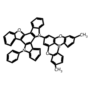 Cc1ccc2c(c1)Oc1cc(-n3c4ccccc4c4c5oc6ccccc6c5c5c(c6ccccc6n5-c5ccccc5)c43)cc3c1B2c1ccc(C)cc1O3